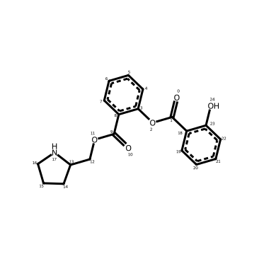 O=C(Oc1ccccc1C(=O)OCC1CCCN1)c1ccccc1O